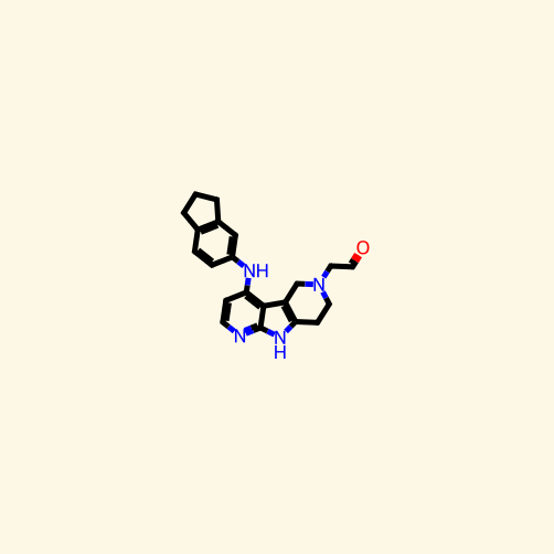 O=CCN1CCc2[nH]c3nccc(Nc4ccc5c(c4)CCC5)c3c2C1